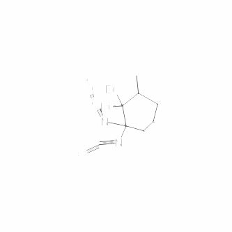 CCC1(CC)C(C)CCCC1(N=C=O)N=C=O